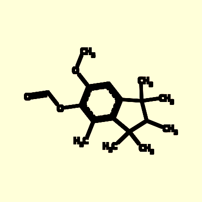 COc1cc2c(c(C)c1OC=O)C(C)(C)C(C)C2(C)C